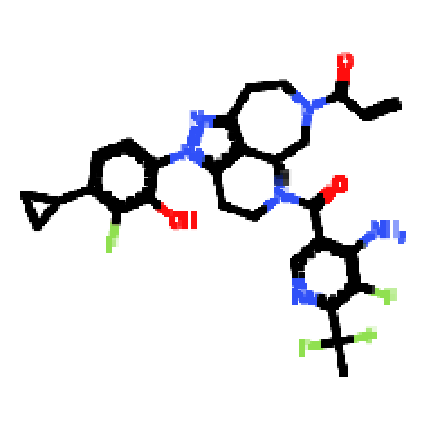 C=CC(=O)N1CCc2nn(-c3ccc(C4CC4)c(F)c3O)c3c2[C@H](C1)N(C(=O)c1cnc(C(C)(F)F)c(F)c1N)CC3